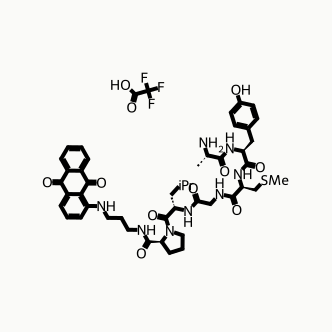 CSC[C@H](NC(=O)[C@H](Cc1ccc(O)cc1)NC(=O)[C@H](C)N)C(=O)NCC(=O)N[C@@H](CC(C)C)C(=O)N1CCC[C@H]1C(=O)NCCCNc1cccc2c1C(=O)c1ccccc1C2=O.O=C(O)C(F)(F)F